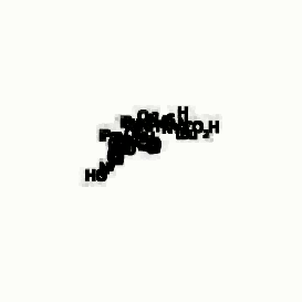 CC[C@H](C)[C@H](NC(=O)N(C)Cc1csc(C(NC(=O)O)C(C)(C)C)n1)C(=O)N[C@@H](Cc1ccccc1)[C@H](O)CN(CC(C)C)S(=O)(=O)c1ccc(/C=N/O)cc1